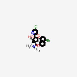 CN(C)C(=O)[C@@]12C[C@@H]1[C@@]1(O)c3ncc(Cl)cc3O[C@@]1(c1ccc(Br)cc1)[C@@H]2c1ccccc1